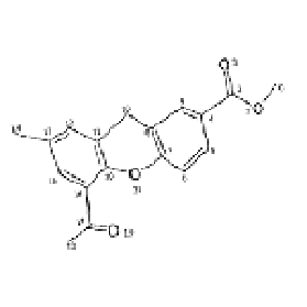 COC(=O)c1ccc2c(c1)Cc1cc(C)cc(C(C)=O)c1O2